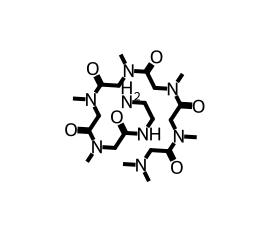 CN(C)CC(=O)N(C)CC(=O)N(C)CC(=O)N(C)CC(=O)N(C)CC(=O)N(C)CC(=O)NCCN